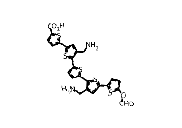 NCc1cc(-c2ccc(OC=O)s2)sc1-c1ccc(-c2sc(-c3ccc(C(=O)O)s3)cc2CN)s1